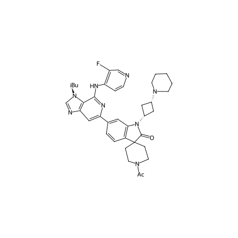 CC[C@H](C)n1cnc2cc(-c3ccc4c(c3)N([C@H]3C[C@@H](N5CCCCC5)C3)C(=O)C43CCN(C(C)=O)CC3)nc(Nc3ccncc3F)c21